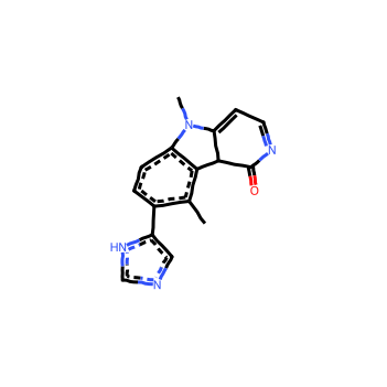 Cc1c(-c2cnc[nH]2)ccc2c1C1C(=O)N=CC=C1N2C